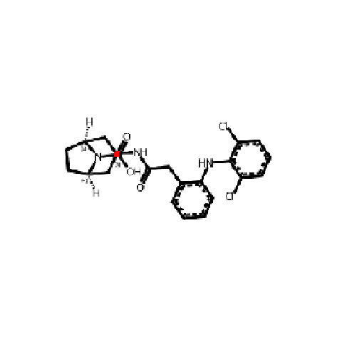 O=C(Cc1ccccc1Nc1c(Cl)cccc1Cl)N[C@H]1C[C@H]2CC[C@@H](C1)N2C(=O)O